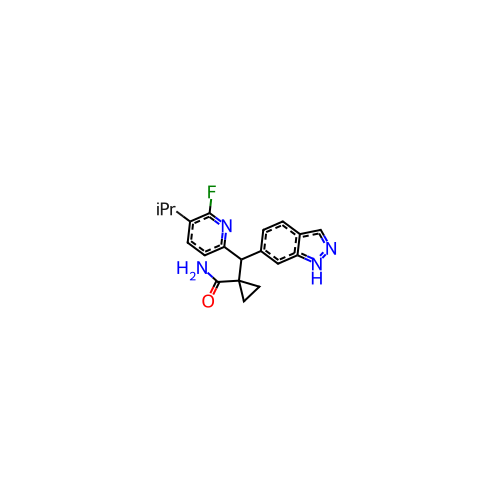 CC(C)c1ccc(C(c2ccc3cn[nH]c3c2)C2(C(N)=O)CC2)nc1F